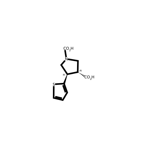 O=C(O)[C@H]1CN(C(=O)O)C[C@@H]1c1cccs1